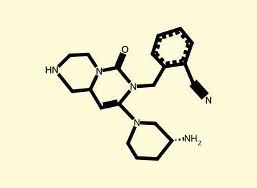 N#Cc1ccccc1CN1C(=O)N2CCNCC2C=C1N1CCC[C@@H](N)C1